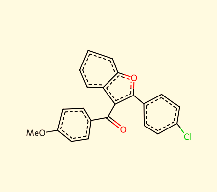 COc1ccc(C(=O)c2c(-c3ccc(Cl)cc3)oc3ccccc23)cc1